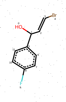 OC(C=CBr)c1ccc(F)cc1